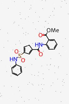 COC(=O)c1ccccc1NC(=O)C1=CC(S(=O)(=O)Nc2ccccc2)=CC1